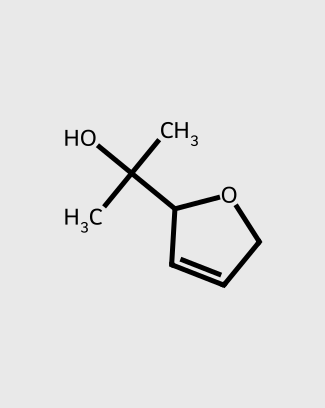 CC(C)(O)C1C=CCO1